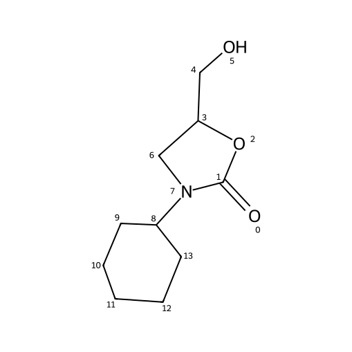 O=C1OC(CO)CN1C1CCCCC1